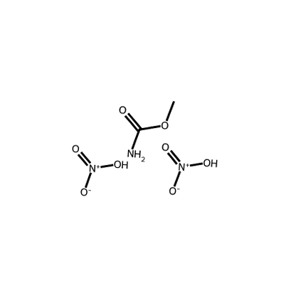 COC(N)=O.O=[N+]([O-])O.O=[N+]([O-])O